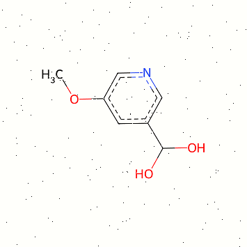 COc1cncc(C(O)O)c1